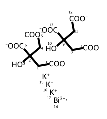 O=C([O-])CC(O)(CC(=O)[O-])C(=O)[O-].O=C([O-])CC(O)(CC(=O)[O-])C(=O)[O-].[Bi+3].[K+].[K+].[K+]